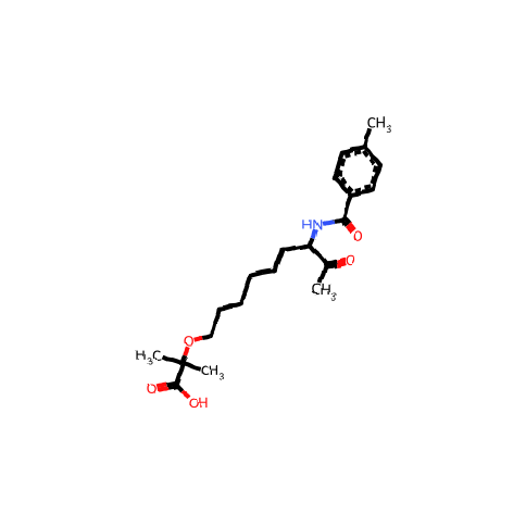 CC(=O)C(CCCCCCOC(C)(C)C(=O)O)NC(=O)c1ccc(C)cc1